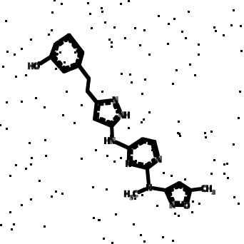 Cc1cc(N(C)c2nccc(Nc3cc(CCc4cccc(O)c4)n[nH]3)n2)no1